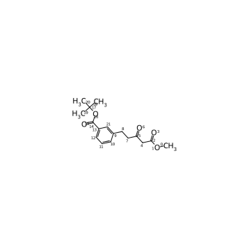 COC(=O)CC(=O)CCc1cccc(C(=O)OC(C)(C)C)c1